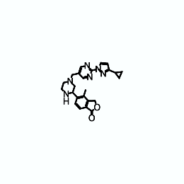 Cc1c(C2CN(Cc3cnc(-n4ccc(C5CC5)n4)nc3)CCN2)ccc2c1COC2=O